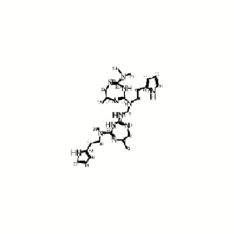 CC1CN=C(NCN(CCc2ccc[nH]2)C2=NC(C)CN=C(N(C)C)N2)NC(N(C)CCc2ccc[nH]2)=N1